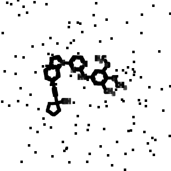 COc1cc(Nc2nccc(-n3ccc4ccc(C#CC5(O)CCCC5)cc43)n2)cc(C)c1OC